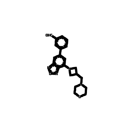 O=Cc1cccc(-c2cc(N3CC(CN4CCOCC4)C3)c3nonc3c2)c1